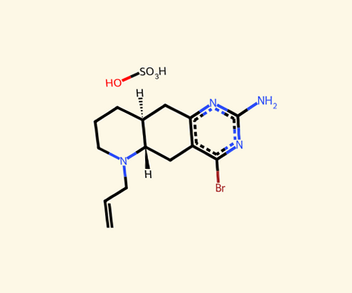 C=CCN1CCC[C@H]2Cc3nc(N)nc(Br)c3C[C@@H]21.O=S(=O)(O)O